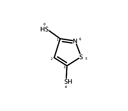 Sc1cc(S)sn1